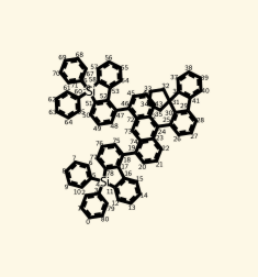 c1ccc([Si]2(c3ccccc3)c3ccccc3-c3c(-c4cccc5c(-c6cccc7c6C6(CCCC6)c6ccccc6-7)c6cccc(-c7cccc8c7-c7ccccc7[Si]8(c7ccccc7)c7ccccc7)c6cc45)cccc32)cc1